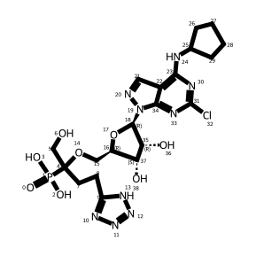 O=P(O)(O)C(CO)(CCc1nnn[nH]1)OC[C@H]1O[C@@H](n2ncc3c(NC4CCCC4)nc(Cl)nc32)[C@H](O)[C@@H]1O